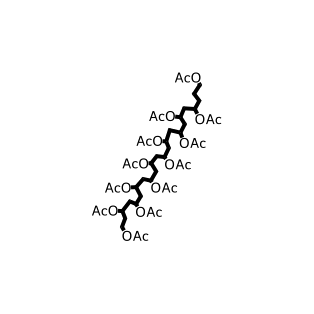 CC(=O)OCCCC(CC(CC(CC(CC(CC(CC(CC(CC(CC(CCOC(C)=O)OC(C)=O)OC(C)=O)OC(C)=O)OC(C)=O)OC(C)=O)OC(C)=O)OC(C)=O)OC(C)=O)OC(C)=O)OC(C)=O